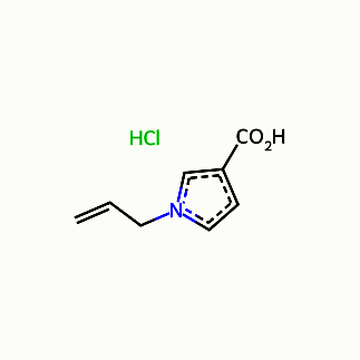 C=CCn1ccc(C(=O)O)c1.Cl